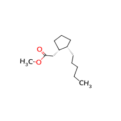 CCCCC[C@H]1CCC[C@H]1CC(=O)OC